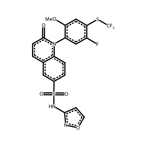 COc1cc(SC(F)(F)F)c(F)cc1-n1c(=O)ccc2cc(S(=O)(=O)Nc3ccon3)ccc21